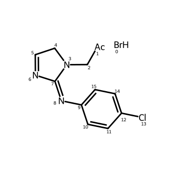 Br.CC(=O)CN1CC=NC1=Nc1ccc(Cl)cc1